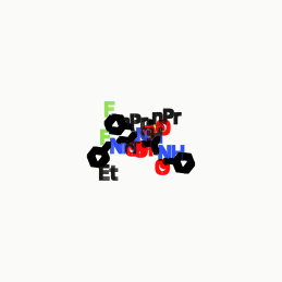 CCCC(CCC)S(=O)(=O)CC(CNC(=O)c1ccccc1)C(=O)N[C@@H](Cc1cc(F)cc(F)c1)[C@@H](O)CNCc1cccc(CC)c1